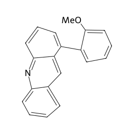 COc1ccccc1-c1cccc2nc3ccccc3cc12